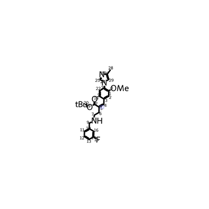 COc1cc(/C=C(/CCNCc2cccc(F)c2)C(=O)OC(C)(C)C)ccc1-n1cnc(C)c1